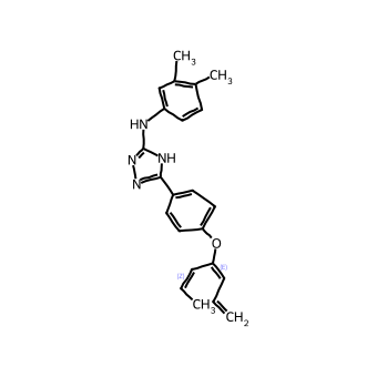 C=C/C=C(\C=C/C)Oc1ccc(-c2nnc(Nc3ccc(C)c(C)c3)[nH]2)cc1